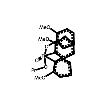 COc1ccccc1[O][Ti](=[O])([O]C(C)C)([c]1ccccc1OC)[c]1ccccc1OC